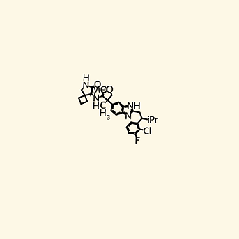 COCC(C)(C(=O)N[C@H]1C(=O)NCC12CCC2)c1ccc2nc(CC(c3cccc(F)c3Cl)C(C)C)[nH]c2c1